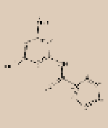 O=[C]c1cc([C]=O)cc(NC(=O)c2ccccc2)c1